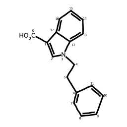 O=C(O)c1cn(CCc2ccccc2)c2ccccc12